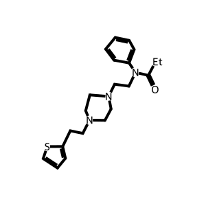 CCC(=O)N(CCN1CCN(CCc2cccs2)CC1)c1ccccc1